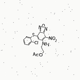 CC(=O)OCCNc1cc(Sc2ccccc2Cl)c2nonc2c1[N+](=O)[O-]